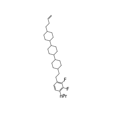 C=CCCC1CCC(C2CCC(C3CCC(CCc4ccc(CCC)c(F)c4F)CC3)CC2)CC1